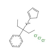 CC[C](CC)([V+3][C]1=CC=CC1)c1ccccc1.[Cl-].[Cl-].[Cl-]